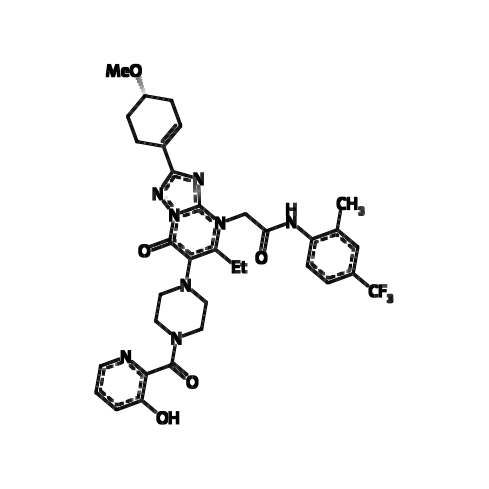 CCc1c(N2CCN(C(=O)c3ncccc3O)CC2)c(=O)n2nc(C3=CC[C@@H](OC)CC3)nc2n1CC(=O)Nc1ccc(C(F)(F)F)cc1C